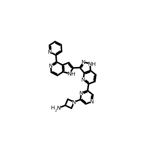 NC1CN(c2cncc(-c3ccc4[nH]nc(-c5cc6c(-c7ccccn7)nccc6[nH]5)c4n3)n2)C1